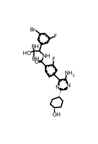 BC(B)(O)C(NC(=O)c1ccc(-c2nc([C@H]3CC[C@H](O)CC3)cnc2N)cc1F)c1cc(F)cc(Br)c1